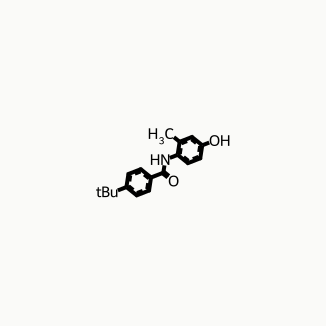 Cc1cc(O)ccc1NC(=O)c1ccc(C(C)(C)C)cc1